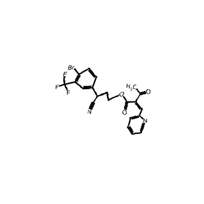 CC(=O)/C(=C/c1ccccn1)C(=O)OCCC(C#N)c1ccc(Br)c(C(F)(F)F)c1